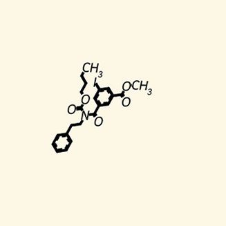 CCCCOC(=O)N(CCc1ccccc1)C(=O)c1cc(I)cc(C(=O)OC)c1